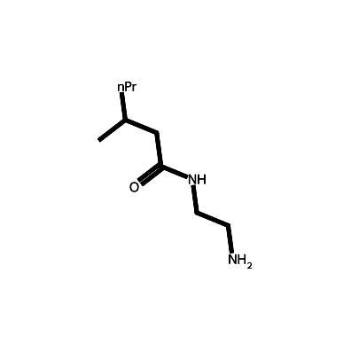 CCCC(C)CC(=O)NCCN